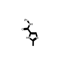 Cc1n[c]c(C(=O)NC(C)C)[nH]1